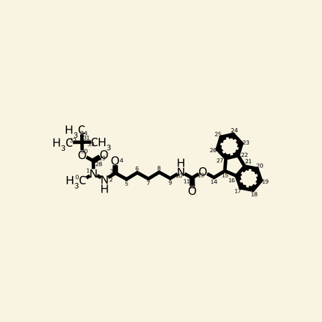 CN(NC(=O)CCCCCNC(=O)OCC1c2ccccc2-c2ccccc21)C(=O)OC(C)(C)C